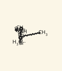 CCCCCCCCCCCCCCOc1cc(OC)ccc1OCC(=O)Nc1ccccc1C[n+]1ccsc1C.[Br-]